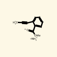 CC#Cc1ccccc1C(=O)OC.N